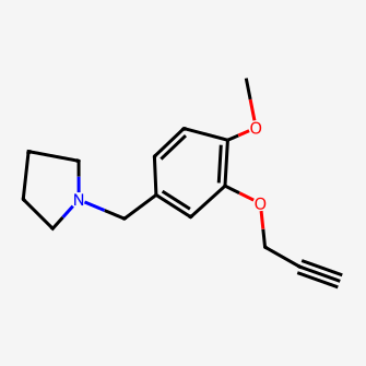 C#CCOc1cc(CN2CCCC2)ccc1OC